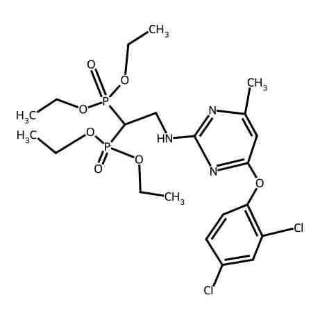 CCOP(=O)(OCC)C(CNc1nc(C)cc(Oc2ccc(Cl)cc2Cl)n1)P(=O)(OCC)OCC